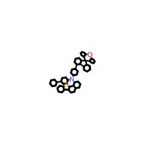 c1ccc(-c2ccc(N(c3ccc(-c4cccc5c4-c4ccccc4C54c5ccccc5Oc5ccccc54)cc3)c3cccc4ccc5c6ccccc6sc5c34)cc2)cc1